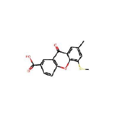 CSc1cc(C)cc2c(=O)c3cc(C(=O)O)ccc3oc12